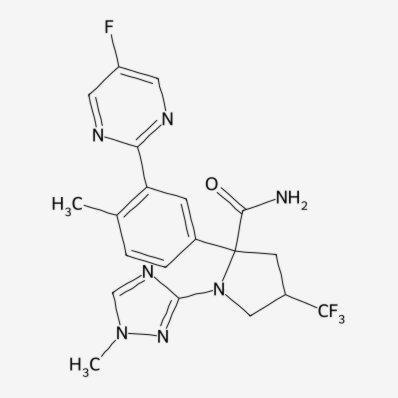 Cc1ccc(C2(C(N)=O)CC(C(F)(F)F)CN2c2ncn(C)n2)cc1-c1ncc(F)cn1